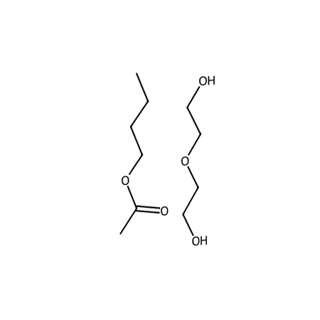 CCCCOC(C)=O.OCCOCCO